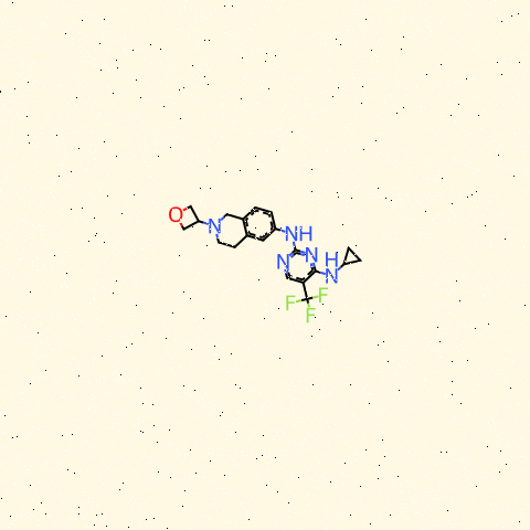 FC(F)(F)c1cnc(Nc2ccc3c(c2)CCN(C2COC2)C3)nc1NC1CC1